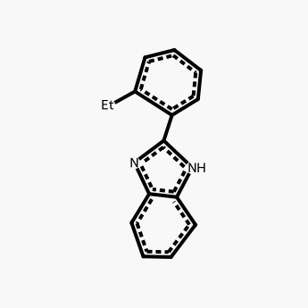 CCc1ccccc1-c1nc2ccccc2[nH]1